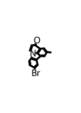 Cc1cc2c(=O)ccn3c4ccc(Br)cc4c(c1)c23